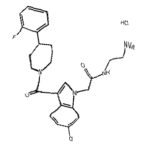 CNCCNC(=O)Cn1cc(C(=O)N2CCC(c3ccccc3F)CC2)c2ccc(Cl)cc21.Cl